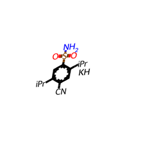 CC(C)c1cc(S(N)(=O)=O)c(C(C)C)cc1C#N.[KH]